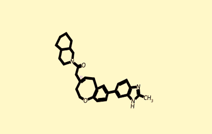 Cc1nc2ccc(-c3ccc4c(c3)C/C=C(/CC(=O)N3CCC5CCCCC5C3)CCO4)cc2[nH]1